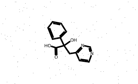 O=C(O)C(O)(Cc1ccncn1)c1ccccc1